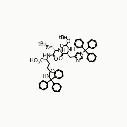 CC(C)(C)OC[C@H](NC(=O)[C@H](Cc1cn(C(c2ccccc2)(c2ccccc2)c2ccccc2)cn1)NC(=O)OC(C)(C)C)C(=O)N[C@@H](CCC(=O)NC(c1ccccc1)(c1ccccc1)c1ccccc1)C(=O)O